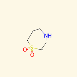 O=S1(=O)[CH]CNCCC1